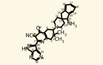 CC1(C)CC2=C(CC1N1CCC3(CC1)Cc1ccccc1C3N)C(=O)C(C#N)C(c1n[nH]c3ncncc13)=N2